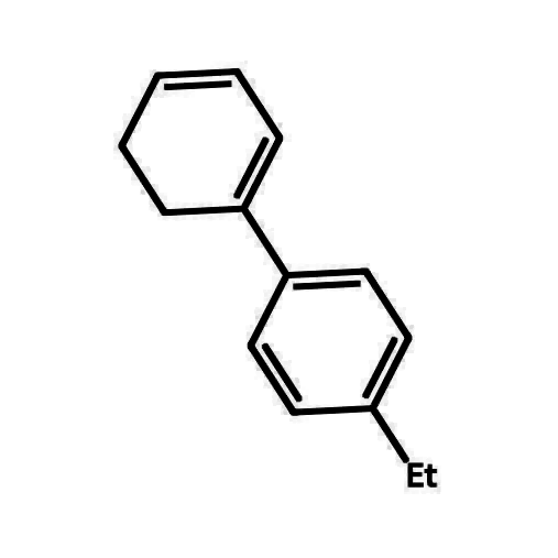 CCc1ccc(C2=CC=CCC2)cc1